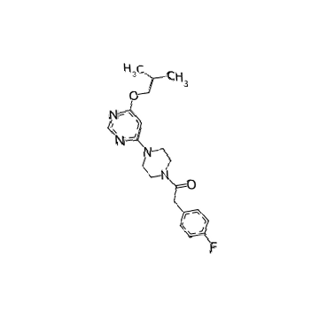 CC(C)COc1cc(N2CCN(C(=O)Cc3ccc(F)cc3)CC2)ncn1